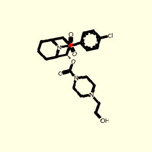 O=C(O[C@H]1CCC2CCCC1N2S(=O)(=O)c1ccc(Cl)cc1)N1CCN(CCO)CC1